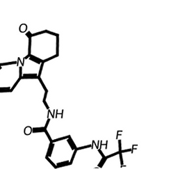 O=C(NCCc1c2c(n3ccccc13)C(=O)CCC2)c1cccc(NC(=O)C(F)(F)F)c1